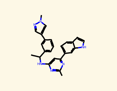 Cc1nc(NC(C)c2cccc(-c3cnn(C)c3)c2)cc(-c2ccc3cc[nH]c3c2)n1